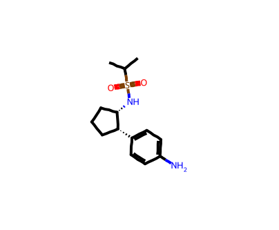 CC(C)S(=O)(=O)N[C@H]1CCC[C@H]1c1ccc(N)cc1